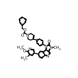 COc1ncc(-c2ccc3ncc4c(c3c2)n(-c2ccc(C3=CCN(C(=O)OCc5ccccc5)CC3)cc2)c(=O)n4C)cc1C